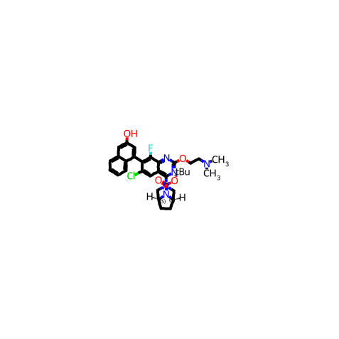 CN(C)CCOc1nc(N2C[C@H]3CC[C@@H](C2)N3C(=O)OC(C)(C)C)c2cc(Cl)c(-c3cc(O)cc4ccccc34)c(F)c2n1